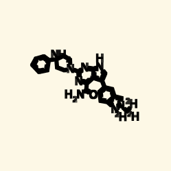 [2H]C([2H])([2H])n1cc2cc(-c3c[nH]c4nc(N5CCC(N)(c6ccccc6)CC5)nc(C(N)=O)c34)ccc2n1